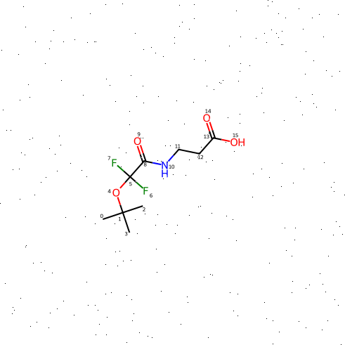 CC(C)(C)OC(F)(F)C(=O)NCCC(=O)O